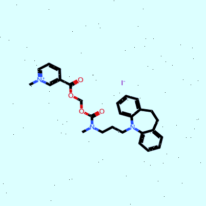 CN(CCCN1c2ccccc2CCc2ccccc21)C(=O)OCOC(=O)c1ccc[n+](C)c1.[I-]